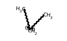 C=C(C(=O)CCCCCCCCCCCC)C(=O)CCCCCCCCCCCC